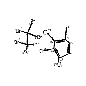 BrC(Br)(Br)C(Br)(Br)Br.Cc1ccc(Cl)c(Cl)c1Cl